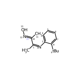 CC(=Nc1ccccc1C(C)(C)C)/C(C)=N/O